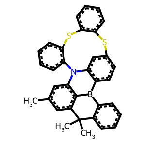 Cc1cc2c3c(c1)C(C)(C)c1ccccc1B3c1ccc3cc1N2c1ccccc1Sc1ccccc1S3